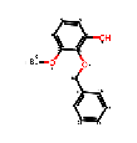 CCCCOc1cccc(O)c1OCc1ccccc1